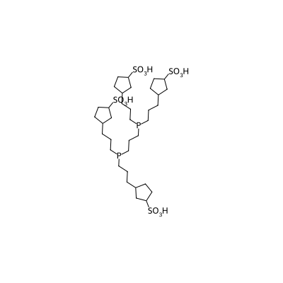 O=S(=O)(O)C1CCC(CCCP(CCCC2CCC(S(=O)(=O)O)C2)CCCP(CCCC2CCC(S(=O)(=O)O)C2)CCCC2CCC(S(=O)(=O)O)C2)C1